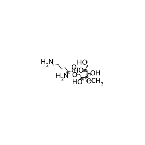 CO[C@@H]([C@H](O)[C@H](O)CO)[C@@H](O)COC(=O)[C@@H](N)CCCCN